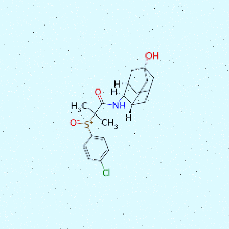 CC(C)(C(=O)N[C@H]1[C@@H]2CC3C[C@H]1C[C@](O)(C3)C2)[S+]([O-])c1ccc(Cl)cc1